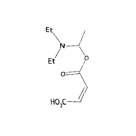 CCN(CC)C(C)OC(=O)/C=C\C(=O)O